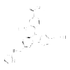 NC(=O)c1ccc(-n2c3ccc(CNc4ncco4)cc3c3ccc(C(=O)O)cc32)c([N+](=O)[O-])c1